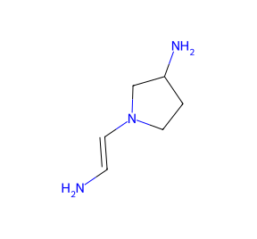 N/C=C/N1CCC(N)C1